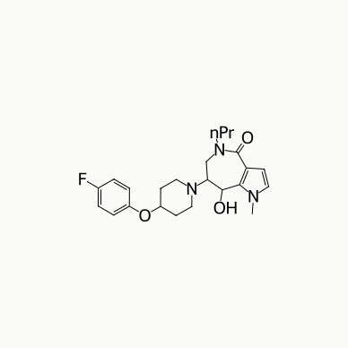 CCCN1CC(N2CCC(Oc3ccc(F)cc3)CC2)C(O)c2c(ccn2C)C1=O